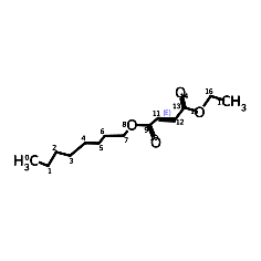 CCCCCCCCOC(=O)/C=C/C(=O)OCC